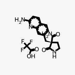 NC(=O)[C@]1(Cc2ccc3ccc(N)nc3c2)CCNC1=O.O=C(O)C(F)(F)F